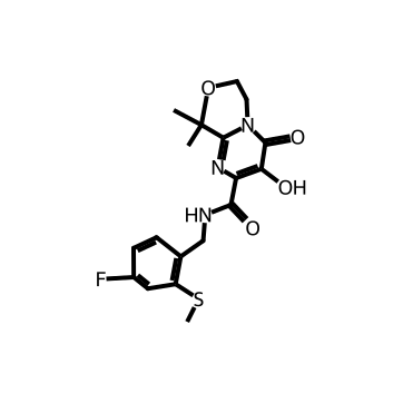 CSc1cc(F)ccc1CNC(=O)c1nc2n(c(=O)c1O)CCOC2(C)C